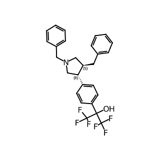 OC(c1ccc([C@@H]2CN(Cc3ccccc3)C[C@H]2Cc2ccccc2)cc1)(C(F)(F)F)C(F)(F)F